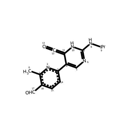 Cc1nc(C2=CN=C(NC(C)C)NC2=C=O)ccc1C=O